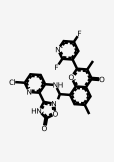 Cc1cc(C(C)Nc2ccc(Cl)nc2-c2noc(=O)[nH]2)c2oc(-c3cc(F)cnc3F)c(C)c(=O)c2c1